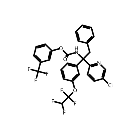 O=C(NC(Cc1ccccc1)(c1cccc(OC(F)(F)C(F)F)c1)c1ccc(Cl)cn1)Oc1cccc(C(F)(F)F)c1